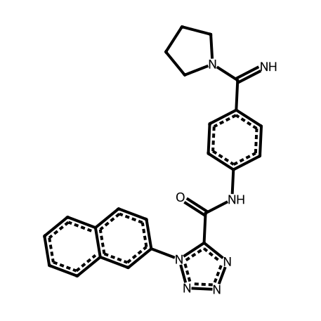 N=C(c1ccc(NC(=O)c2nnnn2-c2ccc3ccccc3c2)cc1)N1CCCC1